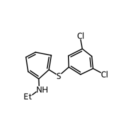 CCNc1ccccc1Sc1cc(Cl)cc(Cl)c1